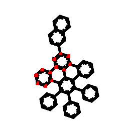 c1ccc(-c2nc(-c3ccc4ccccc4c3)cc(-c3ccccc3-c3c(-c4ccccc4)c(-c4ccccc4)c(-c4ccccc4)c(-c4ccccc4)c3-c3ccccc3)n2)cc1